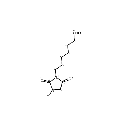 CC1CC(=O)N(CCCCCCC=O)C1=O